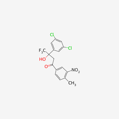 Cc1ccc(C(=O)CC(O)(c2cc(Cl)cc(Cl)c2)C(F)(F)F)cc1[N+](=O)[O-]